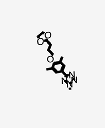 Cc1cc(-c2nnn(C)n2)cc(C)c1OCCCC1OCCO1